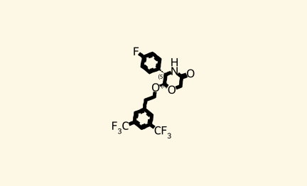 O=C1CO[C@@H](OCCc2cc(C(F)(F)F)cc(C(F)(F)F)c2)[C@H](c2ccc(F)cc2)N1